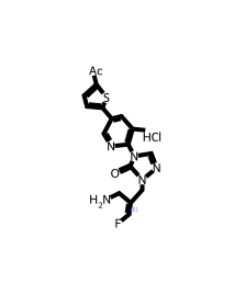 CC(=O)c1ccc(-c2cnc(-n3cnn(C/C(=C/F)CN)c3=O)c(C)c2)s1.Cl